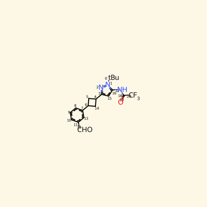 CC(C)(C)n1nc(C2CC(c3cccc(C=O)c3)C2)cc1NC(=O)C(F)(F)F